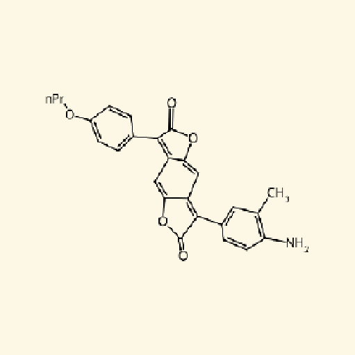 CCCOc1ccc(C2=c3cc4c(cc3OC2=O)=C(c2ccc(N)c(C)c2)C(=O)O4)cc1